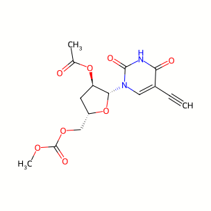 C#Cc1cn([C@@H]2O[C@H](COC(=O)OC)C[C@H]2OC(C)=O)c(=O)[nH]c1=O